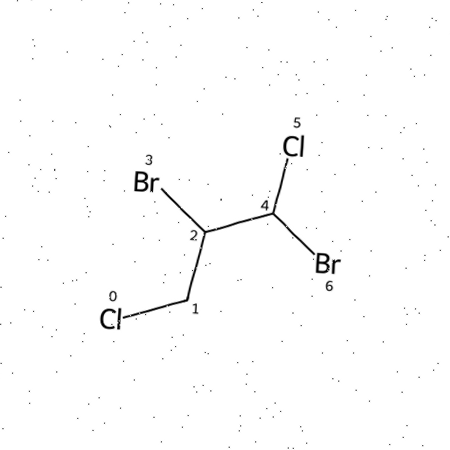 ClCC(Br)C(Cl)Br